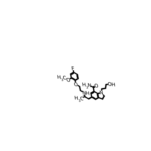 COc1cc(F)ccc1OCCN[C@H](C)Cc1cc2c(c(C(N)=O)c1)N(CCCO)CC2